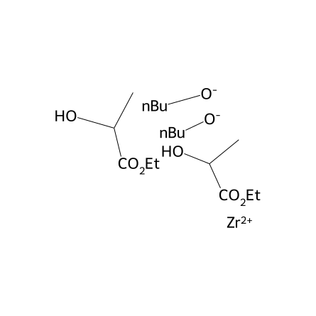 CCCC[O-].CCCC[O-].CCOC(=O)C(C)O.CCOC(=O)C(C)O.[Zr+2]